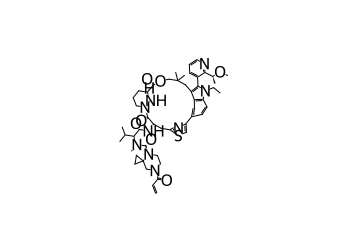 C=CC(=O)N1CCN(C(=O)N(C)C(C(=O)N[C@H]2Cc3nc(cs3)-c3ccc4c(c3)c(c(-c3cccnc3[C@H](C)OC)n4CC)CC(C)(C)COC(=O)[C@@H]3CCCN(N3)C2=O)C(C)C)C2(CC2)C1